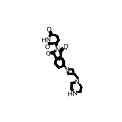 O=C1CCC(N2C(=O)c3ccc(N4CC(CN5CCNCC5)C4)cc3C2=O)C(=O)N1